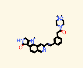 Cn1c2c(c3ccc4cnc(/C=C/c5cccc(CC(=O)N6CC[N+](C)(C)CC6)c5)cc4c31)C(=O)NC2